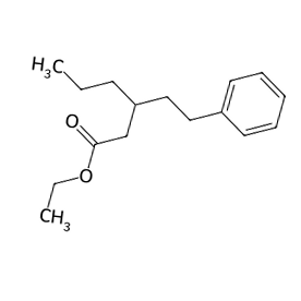 CCCC(CCc1ccccc1)CC(=O)OCC